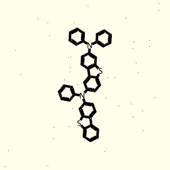 c1ccc(N(c2ccccc2)c2ccc3c(c2)sc2ccc(N(c4ccccc4)c4ccc5c(c4)sc4ccccc45)cc23)cc1